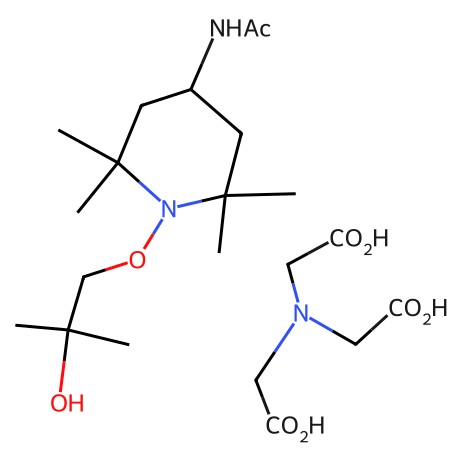 CC(=O)NC1CC(C)(C)N(OCC(C)(C)O)C(C)(C)C1.O=C(O)CN(CC(=O)O)CC(=O)O